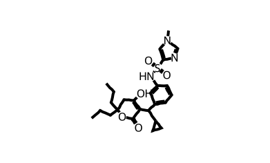 CCCC1(CCC)CC(O)=C(C(c2cccc(NS(=O)(=O)c3cn(C)cn3)c2)C2CC2)C(=O)O1